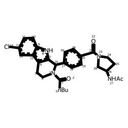 CCCCC(=O)N1CCc2c([nH]c3ccc(Cl)cc23)C1c1ccc(C(=O)N2CCC(NC(C)=O)C2)cc1